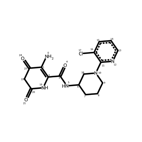 NC1=C(C(=O)NC2CCCN(c3ncccc3Cl)C2)NC(=O)CC1=O